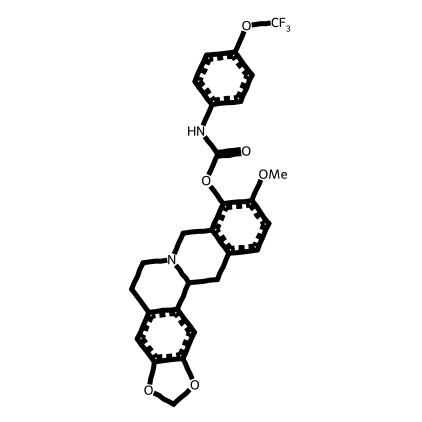 COc1ccc2c(c1OC(=O)Nc1ccc(OC(F)(F)F)cc1)CN1CCc3cc4c(cc3C1C2)OCO4